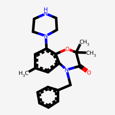 Cc1cc(N2CCNCC2)c2c(c1)N(Cc1ccccc1)C(=O)C(C)(C)O2